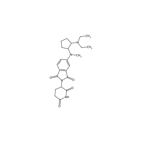 CCN(CC)C1CCCC1N(C)c1ccc2c(c1)C(=O)N(C1CCC(=O)NC1=O)C2=O